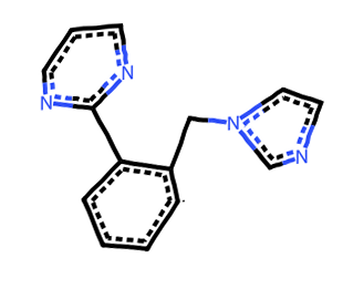 [c]1cccc(-c2ncccn2)c1Cn1ccnc1